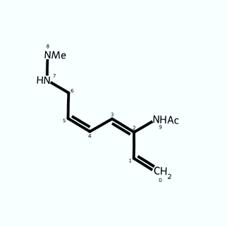 C=C/C(=C\C=C/CNNC)NC(C)=O